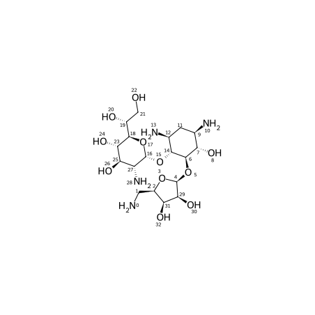 NC[C@H]1O[C@@H](O[C@@H]2[C@@H](O)[C@H](N)C[C@H](N)[C@H]2O[C@H]2O[C@H]([C@H](O)CO)[C@@H](O)[C@H](O)[C@H]2N)[C@@H](O)[C@H]1O